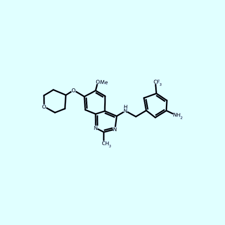 COc1cc2c(NCc3cc(N)cc(C(F)(F)F)c3)nc(C)nc2cc1OC1CCOCC1